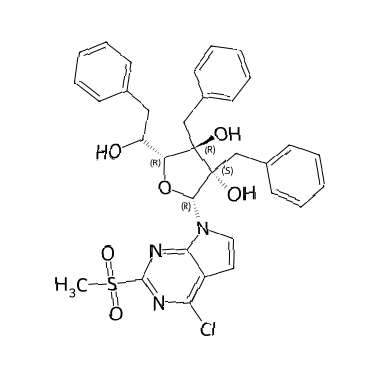 CS(=O)(=O)c1nc(Cl)c2ccn([C@@H]3O[C@H](C(O)Cc4ccccc4)[C@](O)(Cc4ccccc4)[C@@]3(O)Cc3ccccc3)c2n1